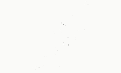 CCOC(=O)NNc1nc2ccc(C)cc2n(C)c1=O